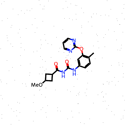 COC1CC(C(=O)NC(=O)Nc2ccc(C)c(Oc3ncccn3)c2)C1